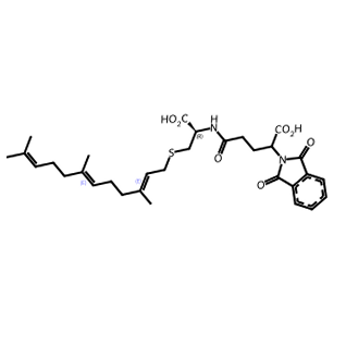 CC(C)=CCC/C(C)=C/CC/C(C)=C/CSC[C@H](NC(=O)CCC(C(=O)O)N1C(=O)c2ccccc2C1=O)C(=O)O